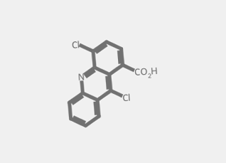 O=C(O)c1ccc(Cl)c2nc3ccccc3c(Cl)c12